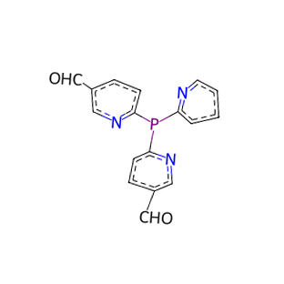 O=Cc1ccc(P(c2ccccn2)c2ccc(C=O)cn2)nc1